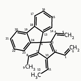 C=CC1=C(C=C)C2(C(=C/C)/C1=C\C)c1ccccc1-c1ccccc12